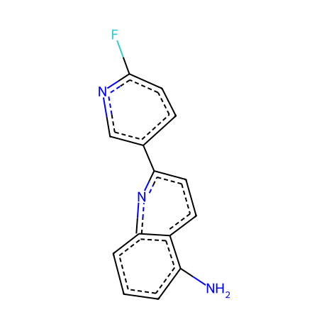 Nc1cccc2nc(-c3ccc(F)nc3)ccc12